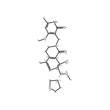 COc1cc(C)[nH]c(=O)c1CN1CCc2c(C)cc(C(OC)[C@@H]3CCOC3)c(Cl)c2C1=O